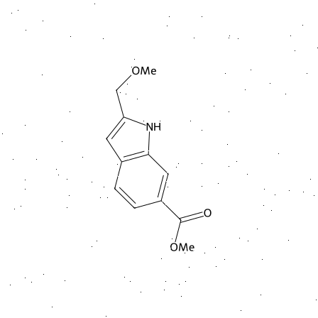 COCc1cc2ccc(C(=O)OC)cc2[nH]1